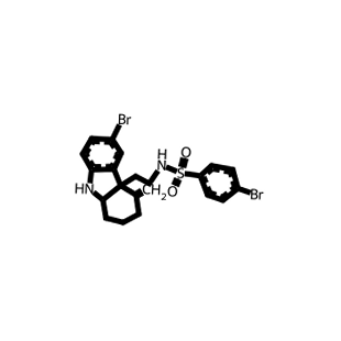 C=C1CCCC2Nc3ccc(Br)cc3C12CCNS(=O)(=O)c1ccc(Br)cc1